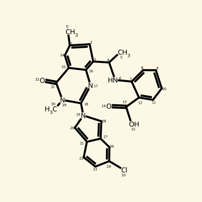 Cc1cc(C(C)Nc2ccccc2C(=O)O)c2nc(-n3cc4ccc(Cl)cc4c3)n(C)c(=O)c2c1